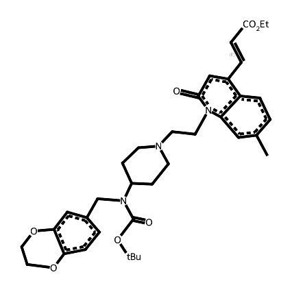 CCOC(=O)/C=C/c1cc(=O)n(CCN2CCC(N(Cc3ccc4c(c3)OCCO4)C(=O)OC(C)(C)C)CC2)c2cc(C)ccc12